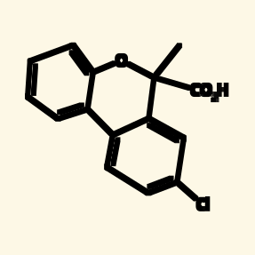 CC1(C(=O)O)Oc2ccccc2-c2ccc(Cl)cc21